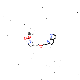 CC(C)(C)OC(=O)N1CC[C@@H](CCOCCc2ccc3cccnc3n2)C1